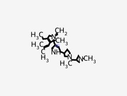 C=CN1CC(CC)=C(C=C(C)C)C1(C)/C(C=N)=C/CC1CCN(C(C)C2CN(C)C2)C1